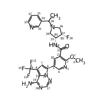 COc1ncc(-c2cc(C(F)(F)F)c3c(N)ncnn23)cc1C(=O)N[C@@H]1CN(C(C)c2cccnc2)C[C@@H]1F